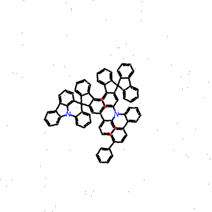 c1ccc(-c2ccc(-c3ccccc3N(c3ccc4c(c3)C3(c5ccccc5-c5ccccc53)c3ccccc3-4)c3ccccc3-c3ccc4c(c3)C3(c5ccccc5-4)c4ccccc4-n4c5ccccc5c5cccc3c54)cc2)cc1